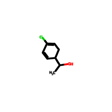 CC(O)C1C=CC(Cl)=CC1